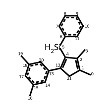 CC1=C(C)C([SiH2]c2ccccc2)=C(c2cc(C)cc(C)c2)C1